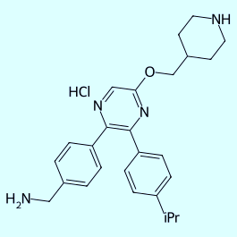 CC(C)c1ccc(-c2nc(OCC3CCNCC3)cnc2-c2ccc(CN)cc2)cc1.Cl